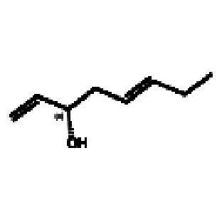 C=C[C@@H](O)CC=CCC